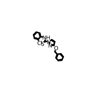 S=C(Nc1ccccc1Cl)n1ccc(OCc2ccccc2)n1